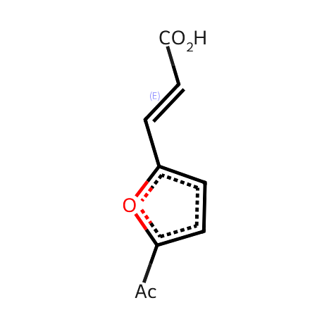 CC(=O)c1ccc(/C=C/C(=O)O)o1